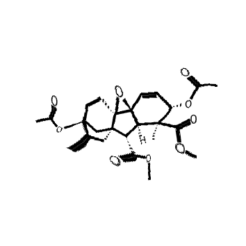 C=C1C[C@]23C[C@@]1(OC(C)=O)CC[C@@]21O[C@]12C=C[C@H](OC(C)=O)[C@@](C)(C(=O)OC)[C@H]2[C@@H]3C(=O)OC